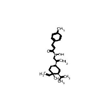 C=C[C@]1(C)CC[C@@H](C(=C)CN(O)C(=O)/C=C/c2ccc(C)cc2)C[C@H]1C(=C)C